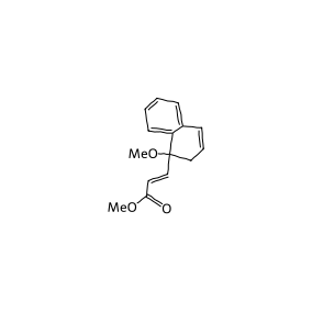 COC(=O)C=CC1(OC)CC=Cc2ccccc21